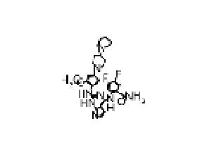 COc1cc(N2CCC(N3CCCCC3)CC2)ccc1Nc1nc(Nc2cc(F)c(F)cc2C(N)=O)c2ccnc-2[nH]1